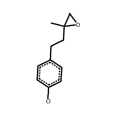 CC1(CCc2ccc(Cl)cc2)CO1